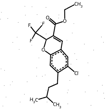 CCOC(=O)C1=Cc2cc(Cl)c(CCC(C)C)cc2OC1C(F)(F)F